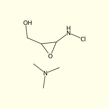 CN(C)C.OCC1OC1NCl